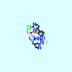 CC(C)(C)OC(=O)N1CCN(Cc2ccnc(Nc3nc4ccc(-c5ccnc(Cl)n5)cc4[nH]3)c2)CC1